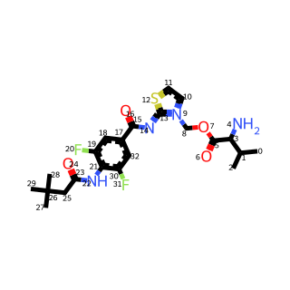 CC(C)C(N)C(=O)OCn1ccsc1=NC(=O)c1cc(F)c(NC(=O)CC(C)(C)C)c(F)c1